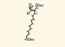 CCCCCCCCCCCCCCCCCCCCC(CCCCCCCCCCC)[NH+](C)[O-]